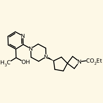 CCOC(=O)N1CC2(CC[C@@H](N3CCN(c4ncccc4C(C)O)CC3)C2)C1